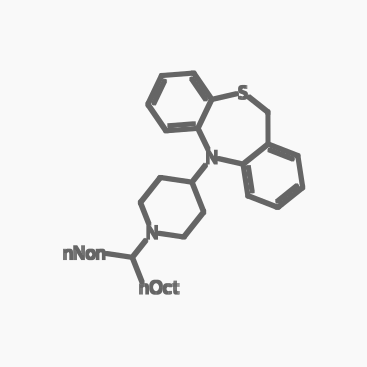 CCCCCCCCCC(CCCCCCCC)N1CCC(N2c3ccccc3CSc3ccccc32)CC1